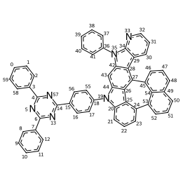 c1ccc(-c2nc(-c3ccccc3)nc(-c3ccc(-n4c5cccc6c5c5c(c7c8cccnc8n(-c8ccccc8)c7cc54)-c4cccc5cccc-6c45)cc3)n2)cc1